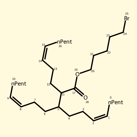 CCCCC/C=C\CCC(CC/C=C\CCCCC)C(CC/C=C\CCCCC)C(=O)OCCCCCBr